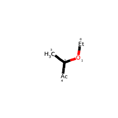 CCOC(C)C(C)=O